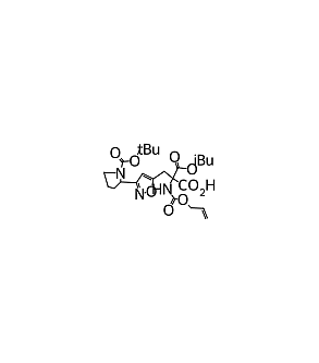 C=CCOC(=O)NC(Cc1cc(C2CCCN2C(=O)OC(C)(C)C)no1)(C(=O)O)C(=O)OC(C)CC